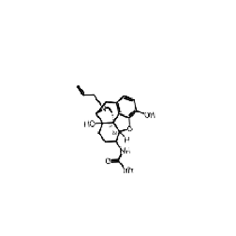 C=CCN1CC[C@]23c4c5ccc(O)c4O[C@@H]2C(NC(=O)CCC)CCC3(O)C1C5